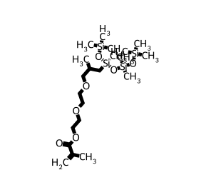 C=C(C)C(=O)OCCOCCOCC(C)C[Si](C)(O[Si](C)(C)C)O[Si](C)(C)O[Si](C)(C)C